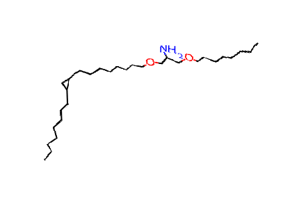 CCCCCCCCOCC(N)COCCCCCCCCC1CC1CCCCCCCC